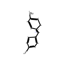 CC(C)(C)C1=CC/C(=C/c2ccc(F)cc2)C=C1